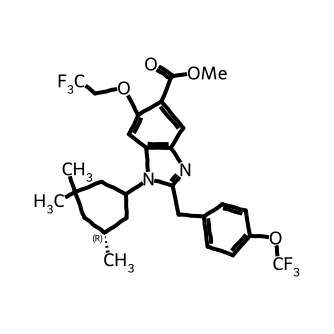 COC(=O)c1cc2nc(Cc3ccc(OC(F)(F)F)cc3)n(C3C[C@H](C)CC(C)(C)C3)c2cc1OCC(F)(F)F